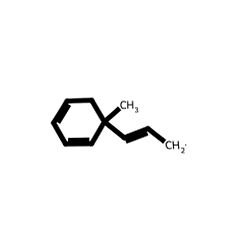 [CH2]/C=C/C1(C)C=CC=CC1